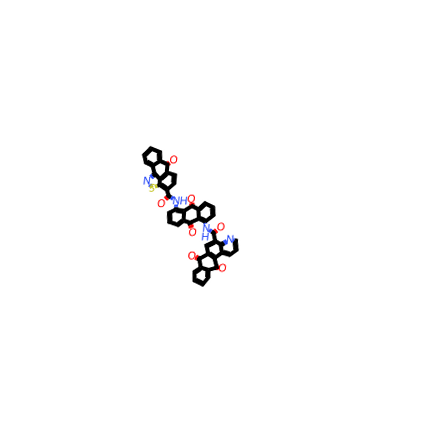 O=C1c2ccccc2C(=O)c2c1cc(C(=O)Nc1cccc3c1C(=O)c1cccc(NC(=O)c4ccc5c6c(nsc46)-c4ccccc4C5=O)c1C3=O)c1ncccc21